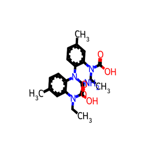 CCN(C(=O)O)c1cc(C)ccc1N(C(N)=O)c1ccc(C)cc1N(CC)C(=O)O